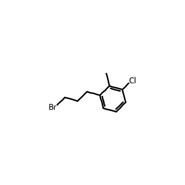 Cc1c(Cl)cccc1CCCBr